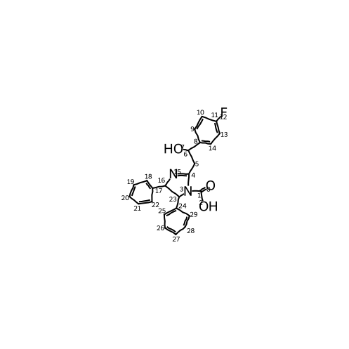 O=C(O)N1C(CC(O)c2ccc(F)cc2)=NC(c2ccccc2)C1c1ccccc1